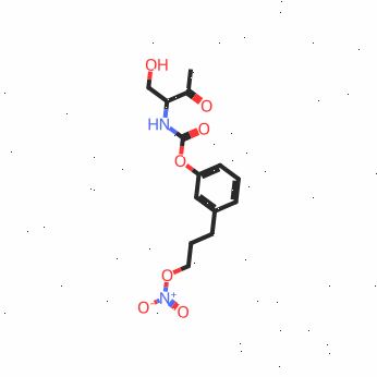 CC(=O)C(CO)NC(=O)Oc1cccc(CCCO[N+](=O)[O-])c1